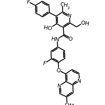 COc1cnc2c(Oc3ccc(NC(=O)c4c(CO)nc(C)c(-c5ccc(F)cc5)c4O)cc3F)ccnc2c1